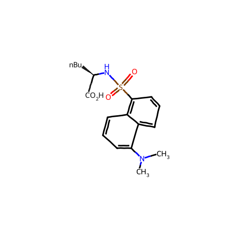 CCCC[C@@H](NS(=O)(=O)c1cccc2c(N(C)C)cccc12)C(=O)O